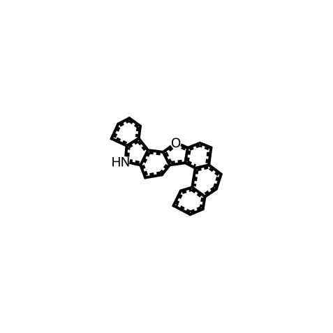 c1ccc2c(c1)ccc1ccc3oc4c(ccc5[nH]c6ccccc6c54)c3c12